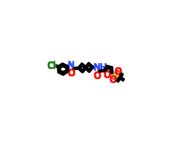 CC(C)(C)S(=O)(=O)c1ccc(C(=O)NC2CC3(C2)CC(c2nc4cc(Cl)ccc4o2)C3)o1